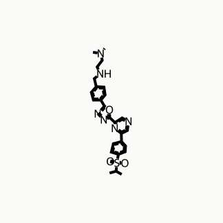 CC(C)S(=O)(=O)c1ccc(-c2cncc(-c3nnc(-c4ccc(CNCCN(C)C)cc4)o3)n2)cc1